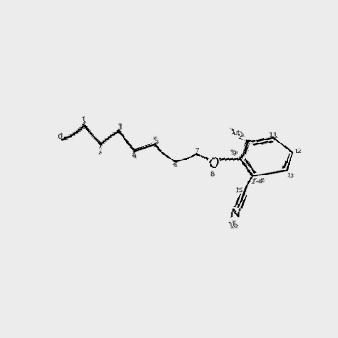 CCCCCCCCOc1[c]cccc1C#N